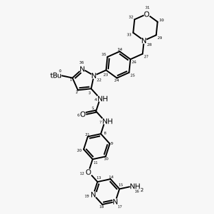 CC(C)(C)c1cc(NC(=O)Nc2ccc(Oc3cc(N)ncn3)cc2)n(-c2ccc(CN3CCOCC3)cc2)n1